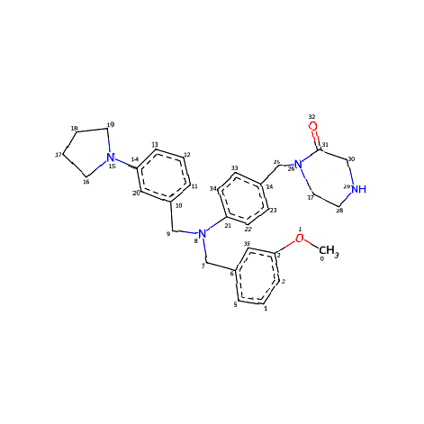 COc1cccc(CN(Cc2cccc(N3CCCC3)c2)c2ccc(CN3CCNCC3=O)cc2)c1